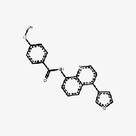 CC(C)Oc1ccc(C(=O)Nc2cccc3c(-c4ccoc4)ccnc23)cc1